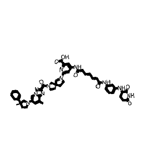 Cc1cc(N2CC[C@](C)(c3ccccc3)C2)cn2nc(C(=O)N3CC[C@@]4(CCN(c5cc(NC(=O)CCCCCC(=O)Nc6cccc(NC7CCC(=O)NC7=O)c6)cc(C(=O)O)n5)C4)C3)nc12